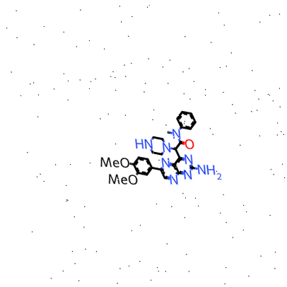 COc1ccc(-c2cnc3nc(N)nc(C(C(=O)N(C)c4ccccc4)N4CCNCC4)c3n2)cc1OC